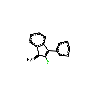 C=C1C(Cl)=C(c2ccccc2)c2ccccc21